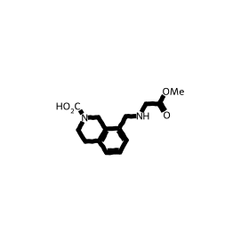 COC(=O)CNCc1cccc2c1CN(C(=O)O)CC2